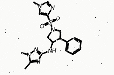 Cc1nc(NC2CN(S(=O)(=O)c3cn(C)cn3)CC2c2ccccc2)nn1C